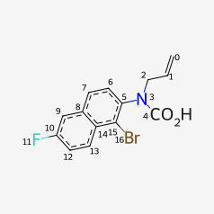 C=CCN(C(=O)O)c1ccc2cc(F)ccc2c1Br